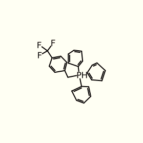 FC(F)(F)c1ccc(C[PH](c2ccccc2)(c2ccccc2)c2ccccc2)cc1